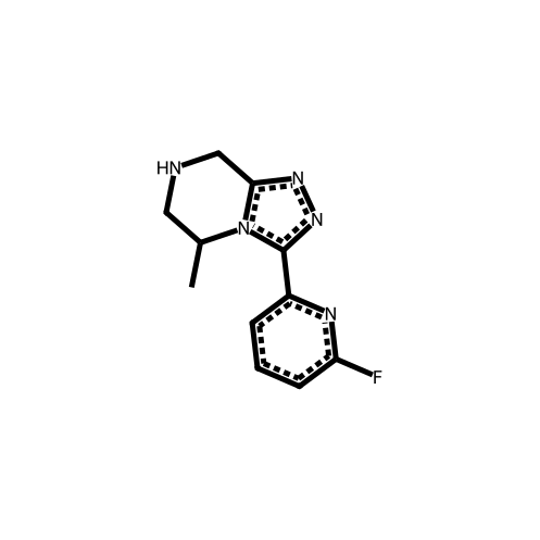 CC1CNCc2nnc(-c3cccc(F)n3)n21